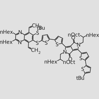 C=Cc1c(Sc2ccc(-c3ccc(C4=C5C(=O)N(CC(CCCCCC)CCCCCCCC)C(c6ccc(-c7ccc(C(C)(C)C)s7)s6)=C5C(=O)N4CC(CCCCCC)CCCCCCCC)s3)s2)c(SC(C)(C)C)c(C=C)c2nc(CCCCCC)c(CCCCCC)nc12